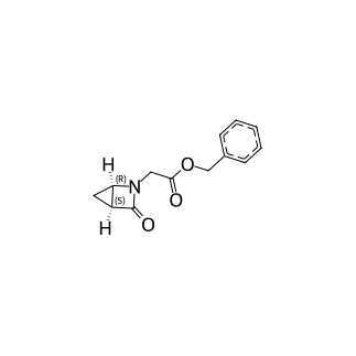 O=C(CN1C(=O)[C@H]2C[C@H]21)OCc1ccccc1